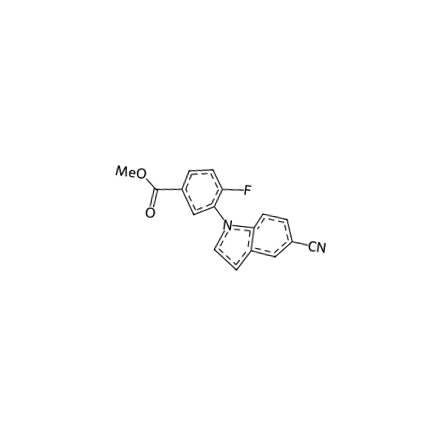 COC(=O)c1ccc(F)c(-n2ccc3cc(C#N)ccc32)c1